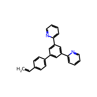 C=Cc1ccc(-c2cc(-c3ccccn3)cc(-c3ccccn3)c2)cc1